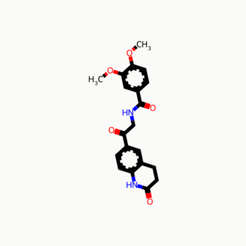 COc1ccc(C(=O)NCC(=O)c2ccc3c(c2)CCC(=O)N3)cc1OC